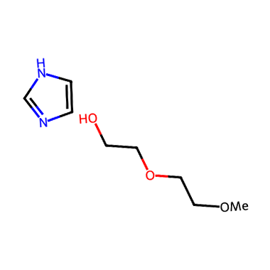 COCCOCCO.c1c[nH]cn1